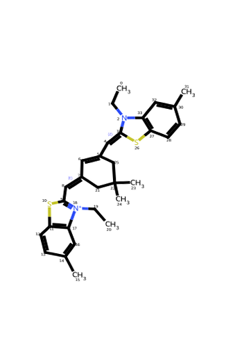 CCN1/C(=C/C2=CC(=C/c3sc4ccc(C)cc4[n+]3CC)/CC(C)(C)C2)Sc2ccc(C)cc21